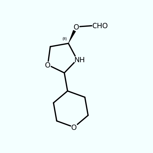 O=CO[C@@H]1COC(C2CCOCC2)N1